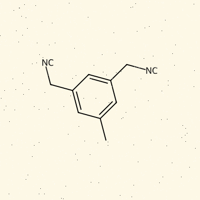 [C-]#[N+]Cc1cc(C)cc(C[N+]#[C-])c1